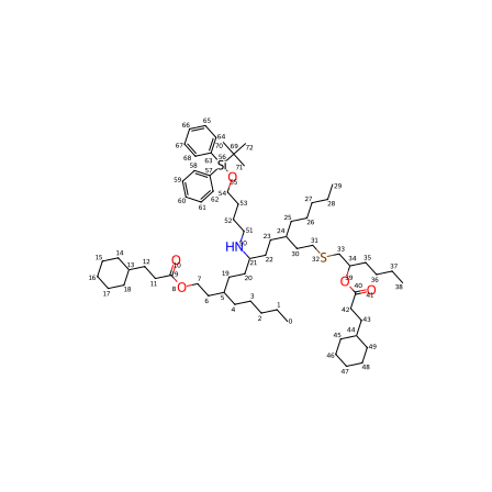 CCCCCC(CCOC(=O)CCC1CCCCC1)CCC(CCC(CCCCC)CCSCC(CCCC)OC(=O)CCC1CCCCC1)NCCCCO[Si](c1ccccc1)(c1ccccc1)C(C)(C)C